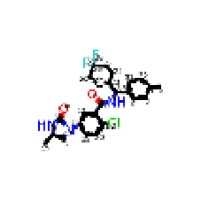 Cc1ccc(C(NC(=O)c2cc(-n3cc(C)[nH]c3=O)ccc2Cl)C2CCC(F)(F)CC2)cc1